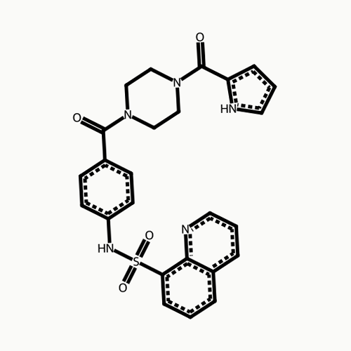 O=C(c1ccc(NS(=O)(=O)c2cccc3cccnc23)cc1)N1CCN(C(=O)c2ccc[nH]2)CC1